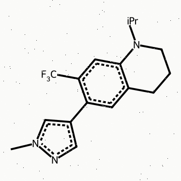 CC(C)N1CCCc2cc(-c3cnn(C)c3)c(C(F)(F)F)cc21